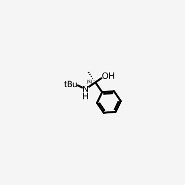 CC(C)(C)N[C@@](C)(O)c1ccccc1